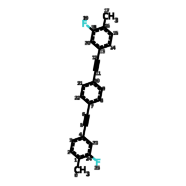 Cc1ccc(C#Cc2ccc(C#Cc3ccc(C)c(F)c3)cc2)cc1F